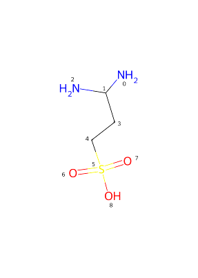 NC(N)CCS(=O)(=O)O